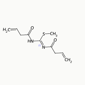 C=CCC(=O)/N=C(/NC(=O)CC=C)SC